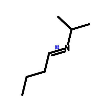 CCC/C=N/C(C)C